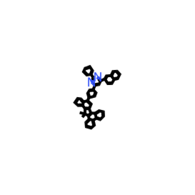 CC1(C)c2c(cc(-c3ccc(-c4cc(-c5ccc6ccccc6c5)nc(-c5ccccc5)n4)cc3)c3ccccc23)-c2c1c1ccccc1c1ccccc21